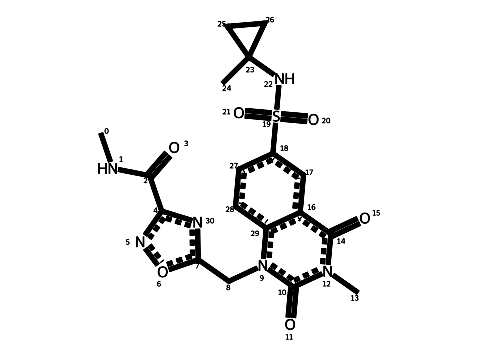 CNC(=O)c1noc(Cn2c(=O)n(C)c(=O)c3cc(S(=O)(=O)NC4(C)CC4)ccc32)n1